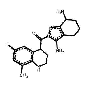 Cc1cc(F)cc2c1NCCC2C(=O)n1nc2c(c1N)CCCC2N